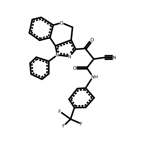 N#CC(C(=O)Nc1ccc(C(F)(F)F)cc1)C(=O)c1nn(-c2ccccc2)c2c1COc1ccccc1-2